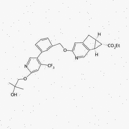 CCOC(=O)[C@H]1[C@@H]2Cc3cc(OCc4cccc(-c5cnc(OCC(C)(C)O)cc5C(F)(F)F)c4)ncc3[C@@H]21